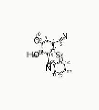 COc1cc(C#N)c(Sc2ccccc2)c(C#N)c1O